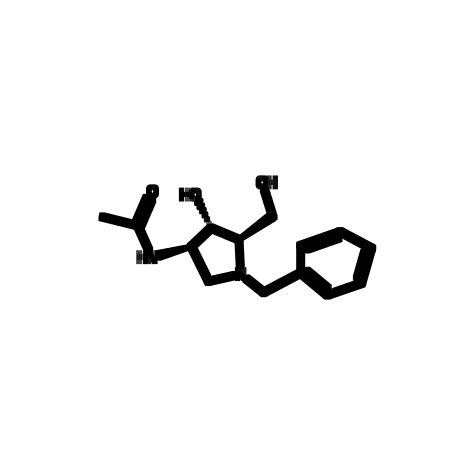 CC(=O)N[C@@H]1CN(Cc2ccccc2)[C@H](CO)[C@H]1O